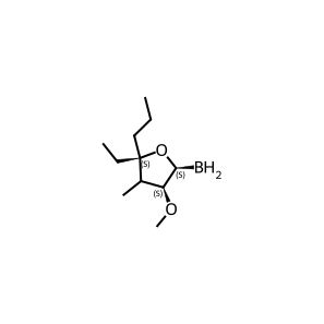 B[C@@H]1O[C@@](CC)(CCC)C(C)[C@@H]1OC